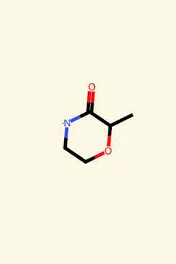 CC1OCC[N]C1=O